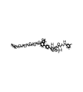 Cc1ccnc(NCCCC(=O)NCC(=O)NC(CC(=O)O)c2ccc(-c3ccc(OCCOCCOCCOCCOCCN=[N+]=[N-])c4sccc34)cc2)c1